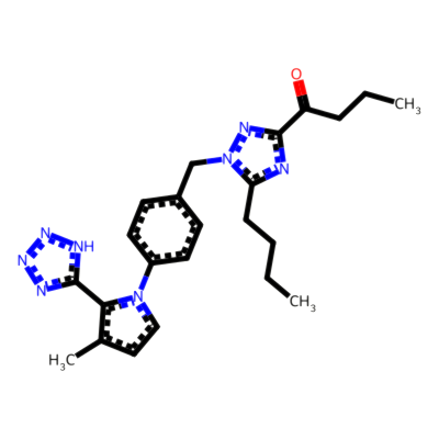 CCCCc1nc(C(=O)CCC)nn1Cc1ccc(-n2ccc(C)c2-c2nnn[nH]2)cc1